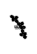 CC(C)(C)C1(C(C)(C)C)c2cc(-c3ccc(N(c4ccccc4)c4cccc5c4oc4ccccc45)cc3)c3ccccc3c2-c2c1c1ccc(-c3ccc(N(c4ccccc4)c4cccc5c4oc4ccccc45)cc3)cc1c1ccccc21